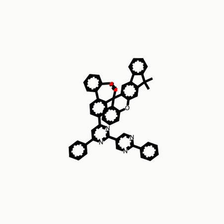 CC1(C)c2ccccc2-c2cc3c(cc21)Oc1ccccc1C31c2ccccc2-c2ccccc2-c2ccc(-c3cc(-c4ccccc4)nc(-c4cnc(-c5ccccc5)nc4)n3)cc21